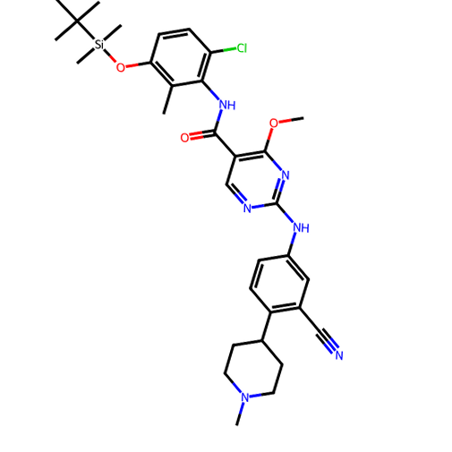 COc1nc(Nc2ccc(C3CCN(C)CC3)c(C#N)c2)ncc1C(=O)Nc1c(Cl)ccc(O[Si](C)(C)C(C)(C)C)c1C